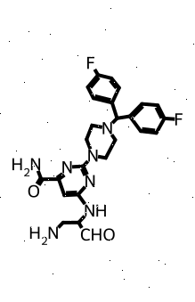 NCC(C=O)Nc1cc(C(N)=O)nc(N2CCN(C(c3ccc(F)cc3)c3ccc(F)cc3)CC2)n1